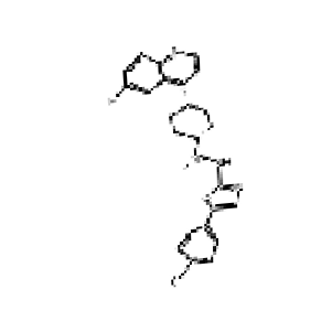 C[C@@H](Nc1ncc(-c2ccc(Cl)cc2)o1)[C@H]1CC[C@@H](c2ccnc3ccc(F)cc32)CC1